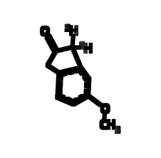 [2H]C1([2H])C(=O)Cc2ccc(OC)cc21